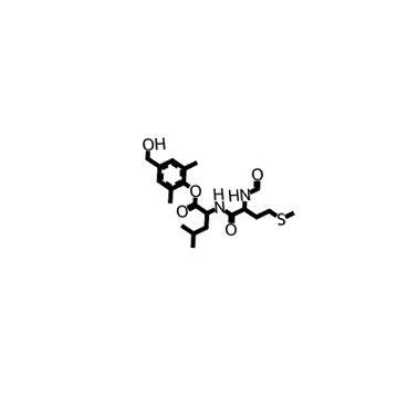 CSCCC(NC=O)C(=O)NC(CC(C)C)C(=O)Oc1c(C)cc(CO)cc1C